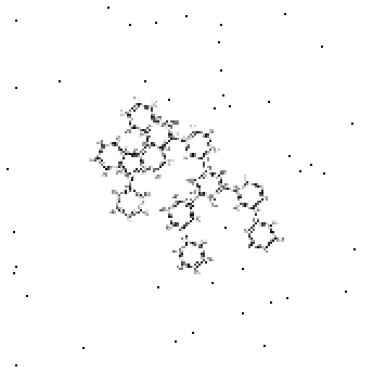 c1ccc(-c2cccc(-c3cc(-c4cccc(-c5nc6ccccc6c6c5ccc5c6c6ccccc6n5-c5ccccc5)c4)nc(-c4cccc(-c5ccccc5)c4)n3)c2)cc1